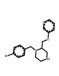 Brc1ccc(CN2CCNCC2COc2cccnc2)cc1